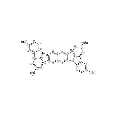 CC(C)(C)c1ccc2c(c1)c1cc(C(C)(C)C)cc3c4cc5cc6c(cc5cc4n2c13)c1cc(C(C)(C)C)cc2c3cc(C(C)(C)C)ccc3n6c21